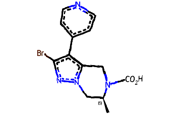 C[C@H]1Cn2nc(Br)c(-c3ccncc3)c2CN1C(=O)O